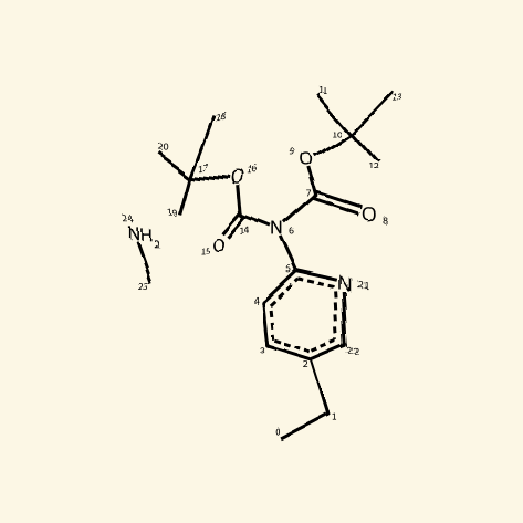 CCc1ccc(N(C(=O)OC(C)(C)C)C(=O)OC(C)(C)C)nc1.CN